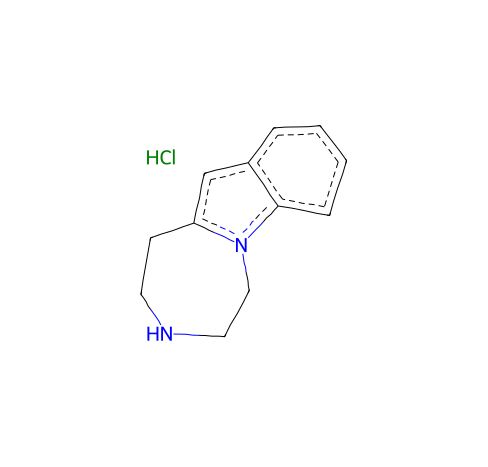 Cl.c1ccc2c(c1)cc1n2CCNCC1